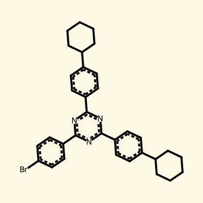 Brc1ccc(-c2nc(-c3ccc(C4CCCCC4)cc3)nc(-c3ccc(C4CCCCC4)cc3)n2)cc1